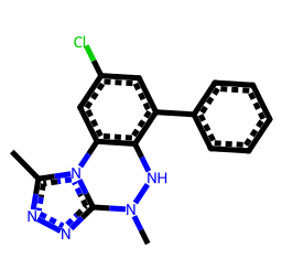 Cc1nnc2n1-c1cc(Cl)cc(-c3ccccc3)c1NN2C